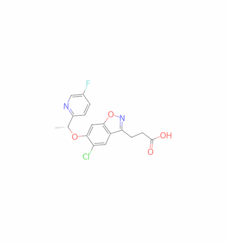 C[C@@H](Oc1cc2onc(CCC(=O)O)c2cc1Cl)c1ccc(F)cn1